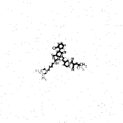 CCN(CC)CCCCNc1ncc2cc(-c3ccccc3Cl)c(=O)n(CCC3CCCN(C(=O)/C(C#N)=C/C(C)C)C3)c2n1